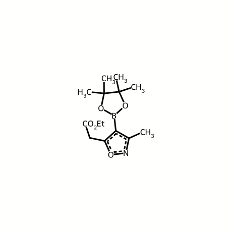 CCOC(=O)Cc1onc(C)c1B1OC(C)(C)C(C)(C)O1